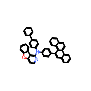 c1ccc(-c2ccc(N(c3ccc(-c4cc5ccccc5c5ccc6ccccc6c45)cc3)c3nccc4oc5ccccc5c34)cc2)cc1